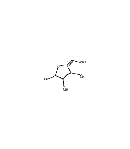 O/C=C1/OC(O)C(O)C1O